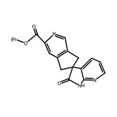 CC(C)OC(=O)c1cc2c(cn1)CC1(C2)C(=O)Nc2ncccc21